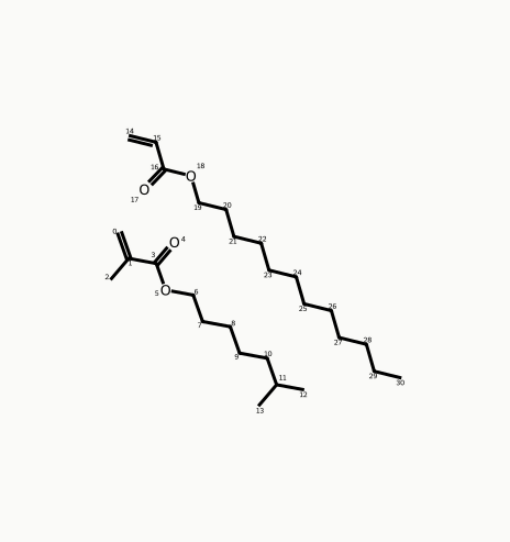 C=C(C)C(=O)OCCCCCC(C)C.C=CC(=O)OCCCCCCCCCCCC